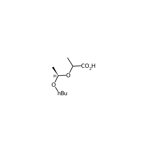 CCCCO[C@@H](C)OC(C)C(=O)O